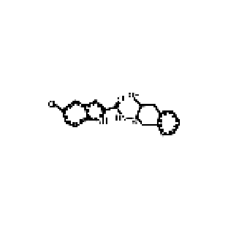 O=C(N[C@@H]1Cc2ccccc2C[C]1O)c1cc2cc(Cl)ccc2[nH]1